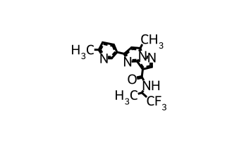 Cc1ccc(-c2cc(C)n3ncc(C(=O)NC(C)C(F)(F)F)c3n2)cn1